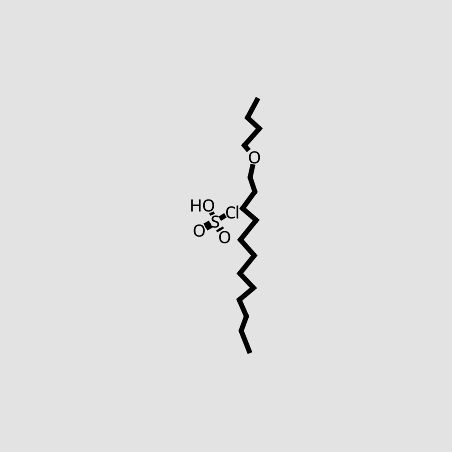 CCCCCCCCCCCCOCCCC.O=S(=O)(O)Cl